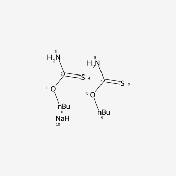 CCCCOC(N)=S.CCCCOC(N)=S.[NaH]